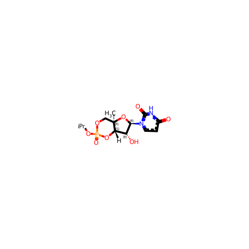 CC(C)OP1(=O)OC[C@@]2(C)O[C@@H](n3ccc(=O)[nH]c3=O)[C@H](O)[C@@H]2O1